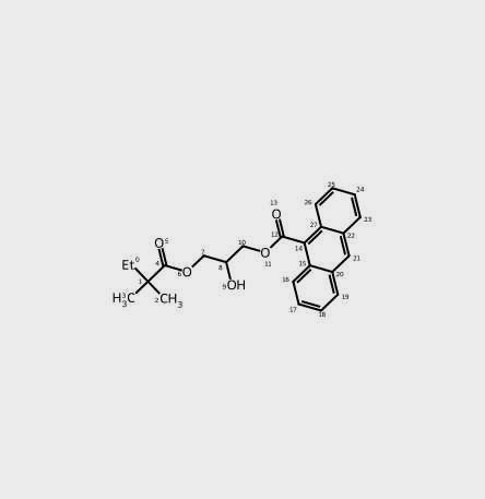 CCC(C)(C)C(=O)OCC(O)COC(=O)c1c2ccccc2cc2ccccc12